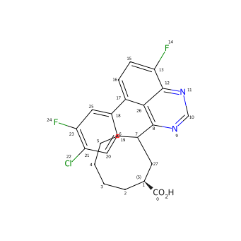 O=C(O)[C@H]1CCCCCC(c2ncnc3c(F)ccc(-c4ccc(Cl)c(F)c4)c23)C1